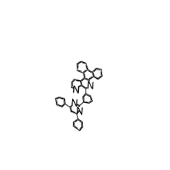 c1ccc(-c2cc(-c3ccccc3)nc(-c3cccc(-c4nc5c6ccccc6c6ccccc6c5c5cccnc45)c3)n2)cc1